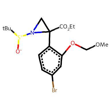 CCOC(=O)C1(c2ccc(Br)cc2OCOC)CN1[S+]([O-])C(C)(C)C